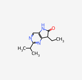 CCC1C(=O)Nc2cnc(C(C)C)nc21